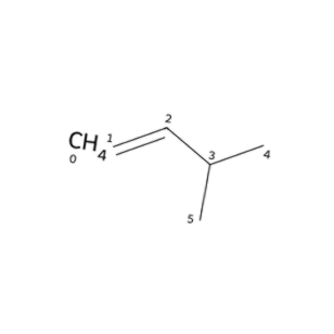 C.C=CC(C)C